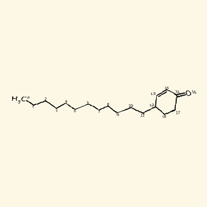 CCCCCCCCCCCCC1C=CC(=O)CC1